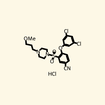 COCCCN1CCN(S(=O)(=O)c2cc(C#N)ccc2Oc2cc(Cl)cc(Cl)c2)CC1.Cl